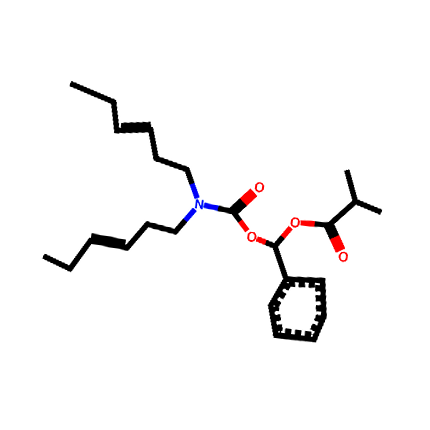 CCC=CCCN(CCC=CCC)C(=O)OC(OC(=O)C(C)C)c1ccccc1